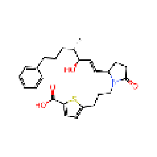 C[C@@H](CCCc1ccccc1)[C@H](O)/C=C/[C@H]1CCC(=O)N1CCCc1ccc(C(=O)O)s1